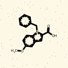 COc1ccc2c(c1)cc(C(=O)O)n2Cc1ccccc1